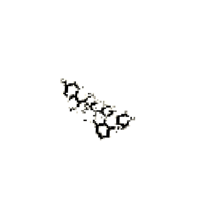 COc1cccc(OC)c1-n1c(NS(=O)(=O)C(C)C(OC(C)C)c2ncc(Cl)cn2)nnc1[C@H]1CCOC1